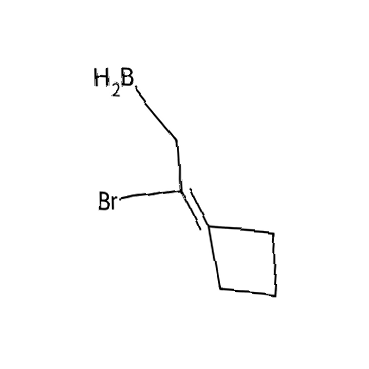 BCC(Br)=C1CCC1